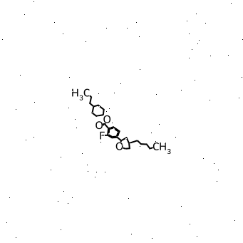 CCCCCC1CCOC(c2ccc(C(=O)OC3CCC(CCC)CC3)c(F)c2)C1